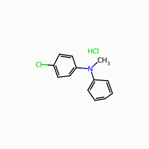 CN(c1ccccc1)c1ccc(Cl)cc1.Cl